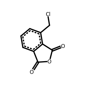 O=C1OC(=O)c2c(CCl)cccc21